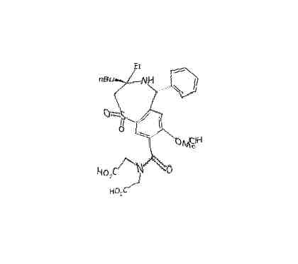 CCCC[C@]1(CC)CS(=O)(=O)c2cc(C(=O)N(CC(=O)O)CC(=O)O)c(OC)cc2[C@@H](c2ccccc2)N1.Cl